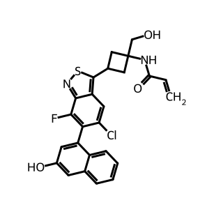 C=CC(=O)NC1(CO)CC(c2snc3c(F)c(-c4cc(O)cc5ccccc45)c(Cl)cc23)C1